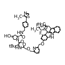 Cc1ncsc1-c1ccc(CNC(=O)[C@@H]2C[C@@H](O)CN2C(=O)[C@@H](NC(=O)COCc2cccc(COc3cc(F)c([C@@H]4c5[nH]c6ccccc6c5C[C@@H](C)N4CC(C)(C)F)c(F)c3)n2)C(C)(C)C)cc1